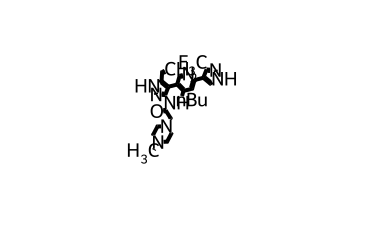 C=Cc1[nH]nc(NC(=O)CN2CCN(C)CC2)c1-c1cnc(-c2c[nH]nc2C(F)(F)F)cc1CCCC